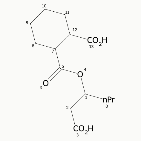 CCCC(CC(=O)O)OC(=O)C1CCCCC1C(=O)O